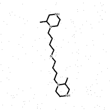 CC1CNCCN1CCCC[N]CCCCN1CCNCC1C